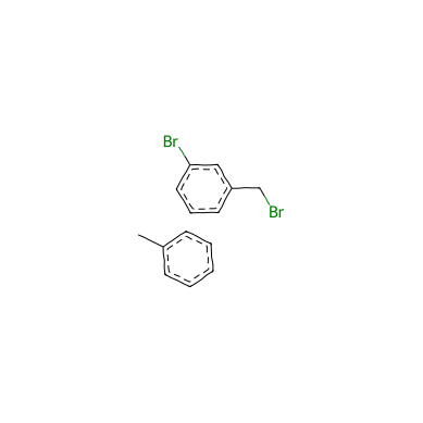 BrCc1cccc(Br)c1.Cc1ccccc1